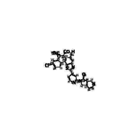 Cc1cc2nc(-c3ccnc(N4Cc5ccncc5C4=O)c3)sc2c(-c2ccc(Cl)cc2)c1C(OC(C)(C)C)C(=O)O